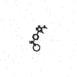 CSc1nnc(-c2ccc(NN3CCCCCC3)cc2)n1C